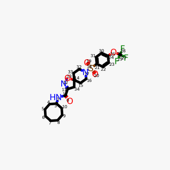 O=C(NC1CCCCCCC1)C1=NOC2(CCN(S(=O)(=O)c3ccc(OC(F)(F)F)cc3)CC2)C1